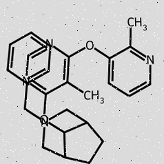 Cc1ncccc1Oc1ncnc(OC2C3CCC2CN(Cc2ccccc2)C3)c1C